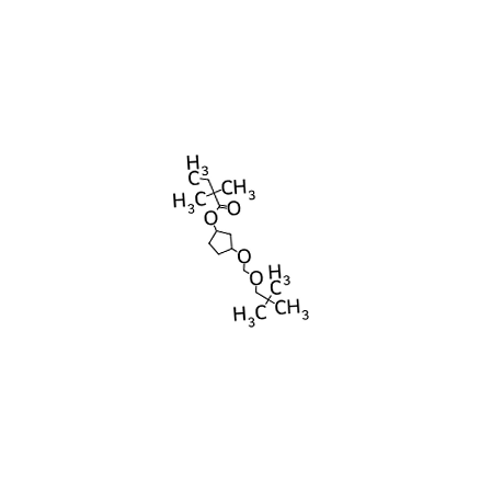 CCC(C)(C)C(=O)OC1CCC(OCOCC(C)(C)C)C1